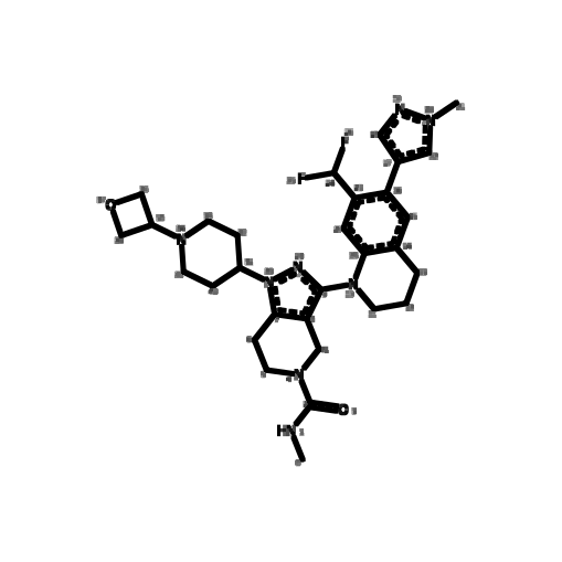 CNC(=O)N1CCc2c(c(N3CCCc4cc(-c5cnn(C)c5)c(C(F)F)cc43)nn2C2CCN(C3COC3)CC2)C1